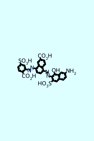 Nc1ccc2cc(S(=O)(=O)O)c(/N=N/c3ccc(/N=N/c4cc(S(=O)(=O)O)ccc4C(=O)O)c4cc(C(=O)O)ccc34)c(O)c2c1